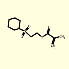 C=C(C)C(=O)OCCS(=O)(=O)C1CCCCC1